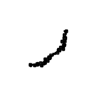 O=C(Oc1ccc(OCC2CO2)cc1)c1ccn(C(=O)Oc2ccc(OCCCCOc3ccc(OC(=O)c4ccn(C(=O)Oc5ccc(OCC6CO6)cc5)c4)cc3)cc2)c1